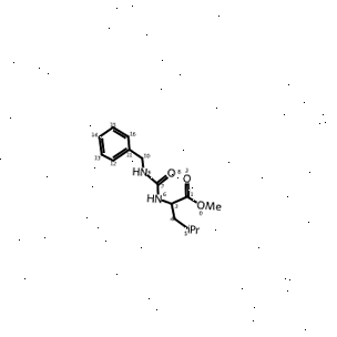 COC(=O)C(CC(C)C)NC(=O)NCc1ccccc1